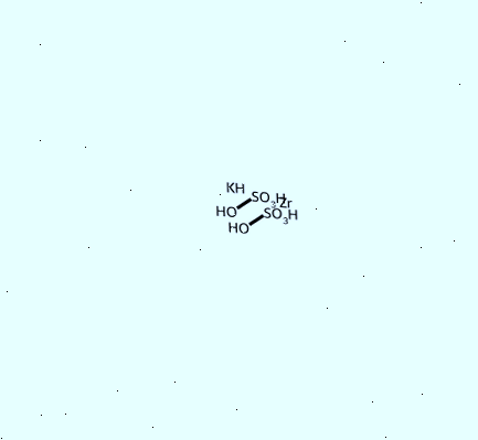 O=S(=O)(O)O.O=S(=O)(O)O.[KH].[Zr]